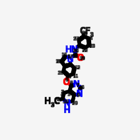 CC1Cc2c(ncnc2Oc2ccc3c(ccn3C(=O)Nc3cccc(C(F)(F)F)c3)c2)CN1